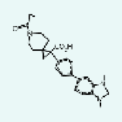 CCC(=O)N1CCC2(CC1)C[C@@]2(C(=O)O)c1ccc(-c2ccc3c(c2)NCN3C)cc1